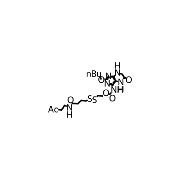 CCCCOc1nc2c(c(NC(=O)OCCSSCCCC(=O)NCCC(C)=O)n1)NC(=O)CN2